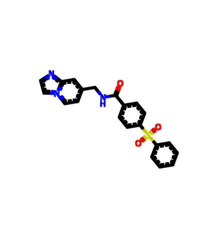 O=C(NCc1ccn2ccnc2c1)c1ccc(S(=O)(=O)c2ccccc2)cc1